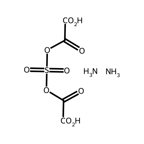 N.N.O=C(O)C(=O)OS(=O)(=O)OC(=O)C(=O)O